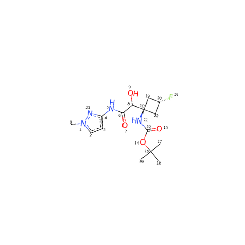 Cn1ccc(NC(=O)C(O)[C@]2(NC(=O)OC(C)(C)C)C[C@H](F)C2)n1